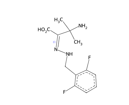 CC(C)(N)/C(=N\NCc1c(F)cccc1F)C(=O)O